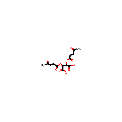 CC(=O)CCC(=O)OC(C(=O)O)C(OC(=O)CCC(C)=O)C(=O)O